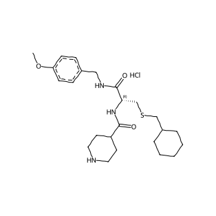 COc1ccc(CNC(=O)[C@H](CSCC2CCCCC2)NC(=O)C2CCNCC2)cc1.Cl